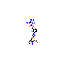 Cc1ncccc1COC1CN(c2cccc(COC(=O)NC(=N)N)c2F)C1